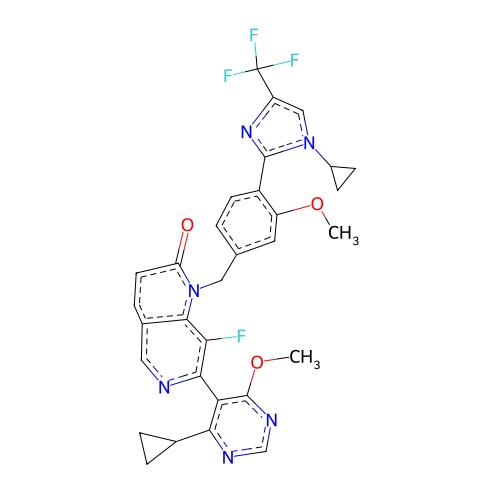 COc1cc(Cn2c(=O)ccc3cnc(-c4c(OC)ncnc4C4CC4)c(F)c32)ccc1-c1nc(C(F)(F)F)cn1C1CC1